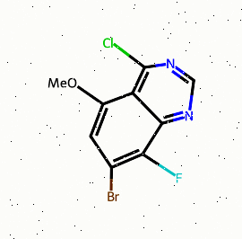 COc1cc(Br)c(F)c2ncnc(Cl)c12